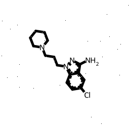 Nc1nn(CCCN2CCCCC2)c2ccc(Cl)cc12